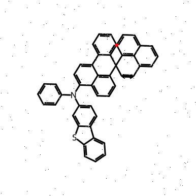 c1ccc(N(c2ccc3c(c2)sc2ccccc23)c2ccc3c4c(cccc24)C2(c4ccccc4-c4cccc5cccc2c45)c2ccccc2-3)cc1